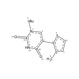 CCCCn1cc(-c2sccc2C)c(=O)[nH]c1=O